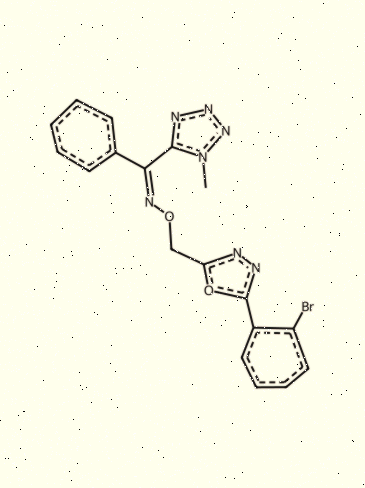 Cn1nnnc1/C(=N\OCc1nnc(-c2ccccc2Br)o1)c1ccccc1